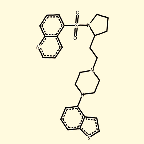 O=S(=O)(c1cccc2ncccc12)N1CCCC1CCN1CCN(c2cccc3sccc23)CC1